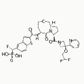 O=C(N[C@H]1CCCC[C@H]2CC[C@@H](C(=O)N3CC(OCC(F)F)(c4ccccn4)C3)N2C1=O)c1cc2cc(C(F)P(=O)(O)O)ccc2s1